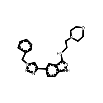 c1ccc(Cn2cc(-c3ccc4[nH]nc(NCCN5CCOCC5)c4c3)nn2)cc1